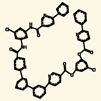 O=C(Nc1cc(Cl)cc(NC(=O)c2ccc(-c3cccc(-c4cccc(-c5ccc(C(=O)Oc6cc(Cl)cc(OC(=O)c7ccc(-c8ccccc8)nc7)c6)cn5)c4)c3)nc2)c1)c1ccc(-c2ccccc2)nc1